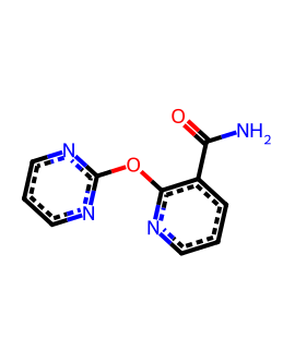 NC(=O)c1cccnc1Oc1ncccn1